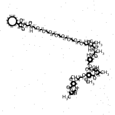 COc1cc2c(cc1OCCCOc1cc3c(cc1OC)C(=O)N1C=C(C)C[C@H]1[C@H](O)N3C(=O)OCc1ccc(NC(=O)[C@H](C)NC(=O)[C@@H](NC(=O)CCOCCOCCOCCOCCOCCOCCOCCOCCNC(=O)CCN3C(=O)CC(C4CCCCCCCCCC4)C3=O)C(C)C)cc1)N=C[C@@H]1CC(C)=CN1C2=O